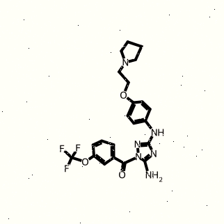 Nc1nc(Nc2ccc(OCCN3CCCC3)cc2)nn1C(=O)c1cccc(OC(F)(F)F)c1